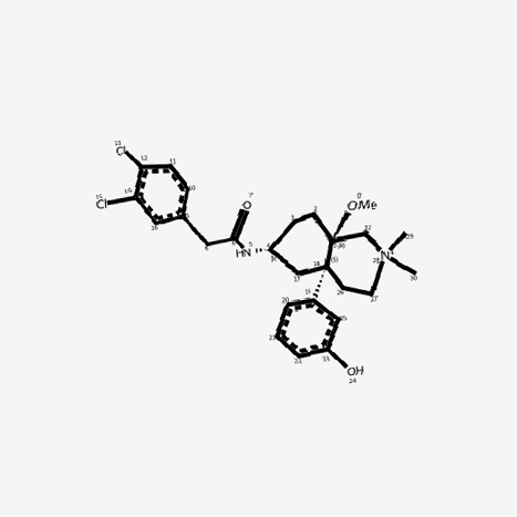 CO[C@]12CC[C@@H](NC(=O)Cc3ccc(Cl)c(Cl)c3)C[C@]1(c1cccc(O)c1)CC[N+](C)(C)C2